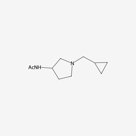 CC(=O)NC1CCN(CC2CC2)C1